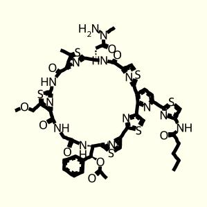 CCCCC(=O)Nc1csc(-c2ccc3c(n2)-c2csc(n2)-c2csc(n2)[C@H]([C@@H](OC(C)=O)c2ccccc2)NC(=O)CNC(=O)c2nc(sc2COC)NC(=O)c2nc(sc2C)[C@H](CC(=O)N(C)N)NC(=O)c2csc-3n2)n1